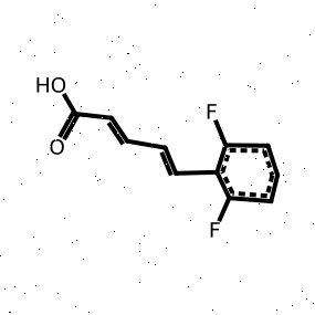 O=C(O)C=CC=Cc1c(F)cccc1F